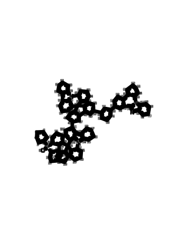 O=P(c1ccccc1)(c1ccccc1)c1cccc2c1-c1ccccc1C21c2ccccc2-n2c3ccccc3c3c(-c4ccc5c(c4)-c4cc(-c6cccc(-c7ccc8c9ccccc9n9c%10ccccc%10nc9c8c7)c6)ccc4C54c5ccccc5-n5c6ccccc6c6cccc4c65)ccc1c32